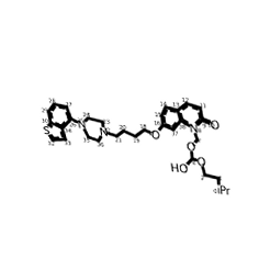 CC(C)CCOC(O)OCn1c(=O)ccc2ccc(OCCCCN3CCN(c4cccc5sccc45)CC3)cc21